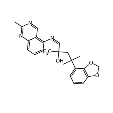 Cc1ncc2c(/N=C\C(O)(CC(C)(C)c3cccc4c3OCO4)C(F)(F)F)cccc2n1